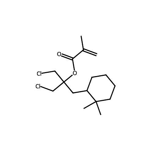 C=C(C)C(=O)OC(CCl)(CCl)CC1CCCCC1(C)C